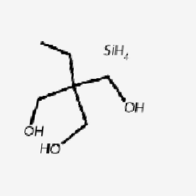 CCC(CO)(CO)CO.[SiH4]